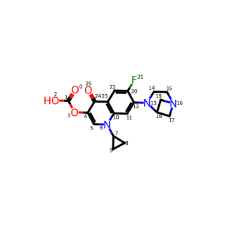 O=C(O)Oc1cn(C2CC2)c2cc(N3CCN4CC3C4)c(F)cc2c1=O